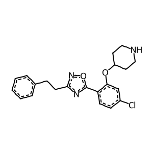 Clc1ccc(-c2nc(CCc3ccccc3)no2)c(OC2CCNCC2)c1